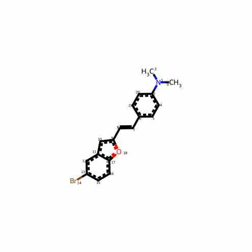 CN(C)c1ccc(C=Cc2cc3cc(Br)ccc3o2)cc1